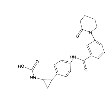 O=C(O)NC1CC1c1ccc(NC(=O)c2cccc(N3CCCCC3=O)c2)cc1